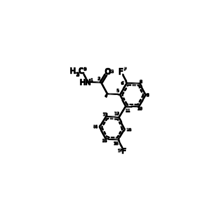 CNC(=O)Cc1c(F)cccc1-c1cccc(F)c1